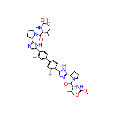 COC(=O)N[C@H](C(=O)N1CCC[C@H]1c1ncc(-c2ccc(-c3ccc(-c4cnc([C@@H]5CCCN5C(=O)[C@@H](NC(=O)O)C(C)C)[nH]4)c(F)c3)cc2F)[nH]1)C(C)C